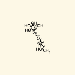 C[C@H](O)Cn1cc(COCCCSC2OC(CO)C(O)C(O)C2O)nn1